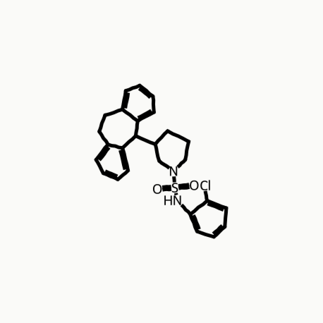 O=S(=O)(Nc1ccccc1Cl)N1CCCC(C2c3ccccc3CCc3ccccc32)C1